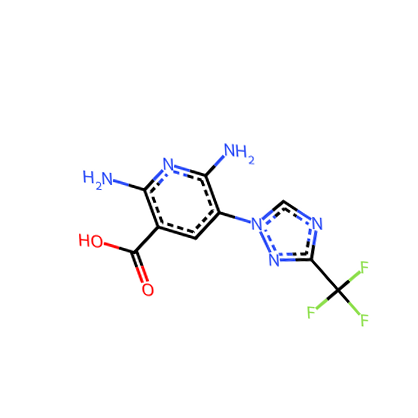 Nc1nc(N)c(-n2cnc(C(F)(F)F)n2)cc1C(=O)O